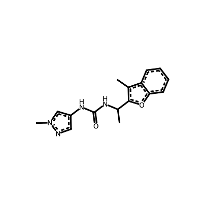 Cc1c(C(C)NC(=O)Nc2cnn(C)c2)oc2ccccc12